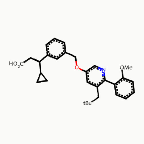 COc1ccccc1-c1ncc(OCc2cccc(C(CC(=O)O)C3CC3)c2)cc1CC(C)(C)C